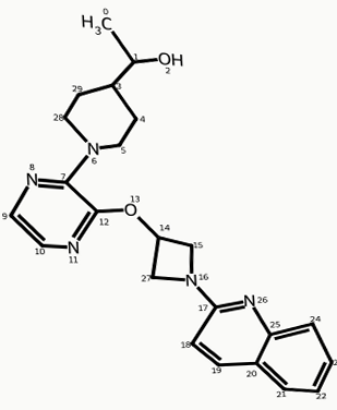 CC(O)C1CCN(c2nccnc2OC2CN(c3ccc4ccccc4n3)C2)CC1